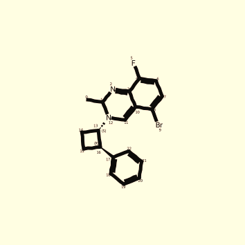 CC1N=c2c(F)ccc(Br)c2=CN1[C@H]1CC[C@@H]1c1ccccc1